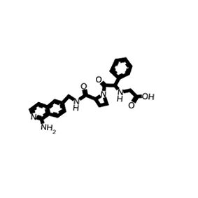 Nc1nccc2cc(CNC(=O)C3CCN3C(=O)C(NCC(=O)O)c3ccccc3)ccc12